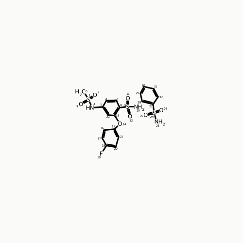 CS(=O)(=O)Nc1ccc(S(N)(=O)=O)c(Oc2ccc(F)cc2)c1.NS(=O)(=O)c1ccccc1